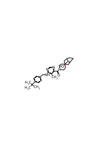 Cc1c(NCc2ccc(C(C)(C)C)cc2)ncnc1C(=O)N1CCC(N2C3CCC2CC(O)C3)CC1